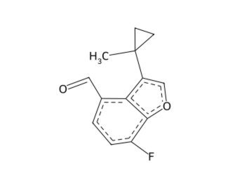 CC1(c2coc3c(F)ccc(C=O)c23)CC1